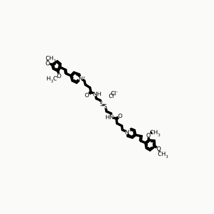 COc1ccc(/C=C/c2cc[n+](CCCC(=O)NCCSSCCNC(=O)CCC[n+]3ccc(/C=C/c4ccc(OC)cc4OC)cc3)cc2)c(OC)c1.[Cl-].[Cl-]